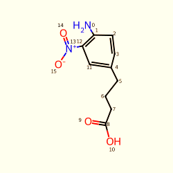 Nc1ccc(CCCC(=O)O)cc1[N+](=O)[O-]